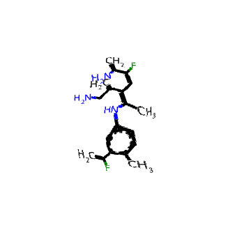 C=C(CN)C(/C=C(/F)C(=C)N)=C(/C)Nc1ccc(C)c(C(=C)F)c1